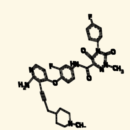 CN1CCC(CC#Cc2c(Oc3ccc(NC(=O)c4nn(C)c(=O)n(-c5ccc(F)cc5)c4=O)cc3F)ccnc2N)CC1